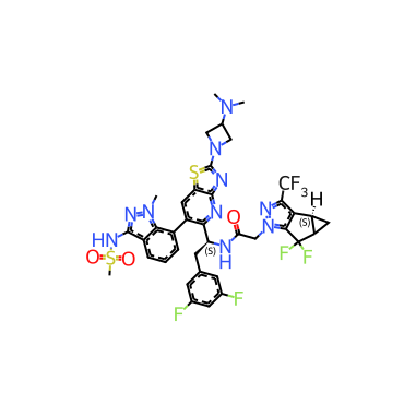 CN(C)C1CN(c2nc3nc([C@H](Cc4cc(F)cc(F)c4)NC(=O)Cn4nc(C(F)(F)F)c5c4C(F)(F)C4C[C@H]54)c(-c4cccc5c(NS(C)(=O)=O)nn(C)c45)cc3s2)C1